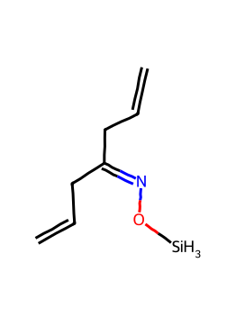 C=CCC(CC=C)=NO[SiH3]